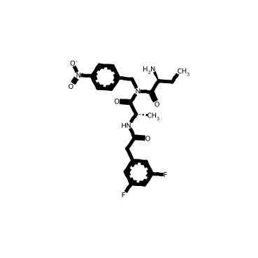 CC[C@H](N)C(=O)N(Cc1ccc([N+](=O)[O-])cc1)C(=O)[C@H](C)NC(=O)Cc1cc(F)cc(F)c1